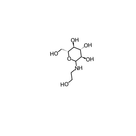 OCCNC1O[C@H](CO)[C@@H](O)[C@H](O)[C@H]1O